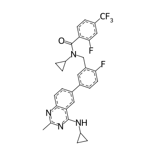 Cc1nc(NC2CC2)c2cc(-c3ccc(F)c(CN(C(=O)c4ccc(C(F)(F)F)cc4F)C4CC4)c3)ccc2n1